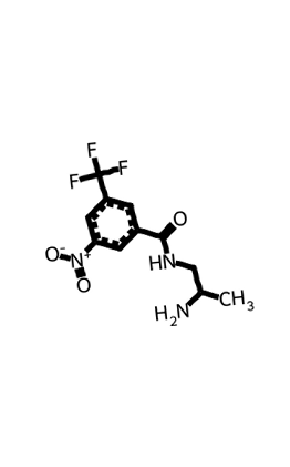 CC(N)CNC(=O)c1cc([N+](=O)[O-])cc(C(F)(F)F)c1